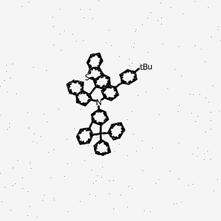 CC(C)(C)c1ccc(-c2ccc(N(c3ccc4c(c3)-c3ccccc3C4(c3ccccc3)c3ccccc3)c3ccc4ccccc4c3-c3cccc4c3sc3ccccc34)cc2)cc1